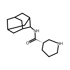 O=C(NC1C2CC3CC(C2)CC1C3)[C@H]1CCCNC1